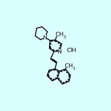 Cc1cnc(C=Cc2cccc3cccc(C)c23)cc1N1CCCCC1.Cl